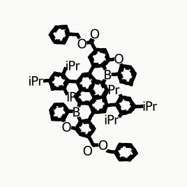 CC(C)c1cc(C(C)C)c(-c2cc3c4c(cc5c(-c6c(C(C)C)cc(C(C)C)cc6C(C)C)cc6c7c(cc2c4c57)B2c4ccccc4Oc4cc(C(=O)OCc5ccccc5)cc-6c42)B2c4ccccc4Oc4cc(C(=O)OCc5ccccc5)cc-3c42)c(C(C)C)c1